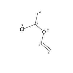 C=COC(C)Cl